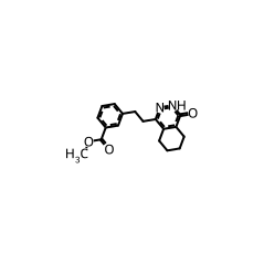 COC(=O)c1cccc(CCc2n[nH]c(=O)c3c2CCCC3)c1